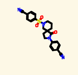 N#Cc1ccc(N2CCC3(CCCN(S(=O)(=O)c4ccc(C#N)cc4)C3)C2=O)cc1